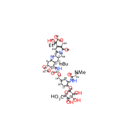 CCCCc1c2c(nc3cc4c(c(NC(=O)OCc5ccc(O[C@@H]6OC(C(=O)O)[C@@H](O)C(O)C6O)c(NC(=O)CNC)c5)c13)OCO4)-c1cc3c(c(=O)n1C2)COC(=O)[C@]3(O)CC